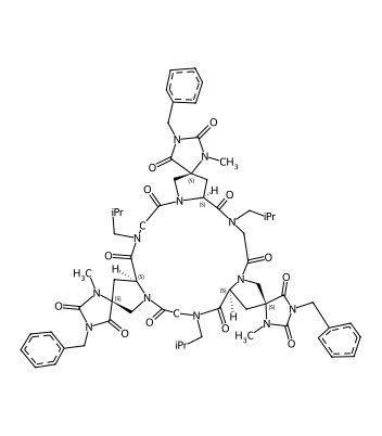 CC(C)CN1CC(=O)N2C[C@@]3(C[C@H]2C(=O)N(CC(C)C)CC(=O)N2C[C@@]4(C[C@H]2C(=O)N(CC(C)C)CC(=O)N2C[C@@]5(C[C@H]2C1=O)C(=O)N(Cc1ccccc1)C(=O)N5C)C(=O)N(Cc1ccccc1)C(=O)N4C)C(=O)N(Cc1ccccc1)C(=O)N3C